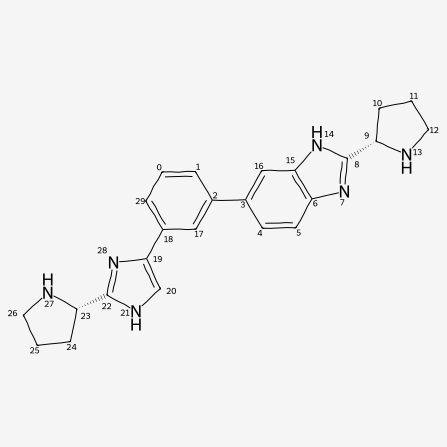 c1cc(-c2ccc3nc([C@@H]4CCCN4)[nH]c3c2)cc(-c2c[nH]c([C@@H]3CCCN3)n2)c1